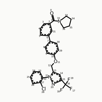 O=C(c1cccc(-c2ccc(OCc3cc(C(F)(F)F)nn3-c3ccccc3Cl)cc2)c1)N1CCCC1